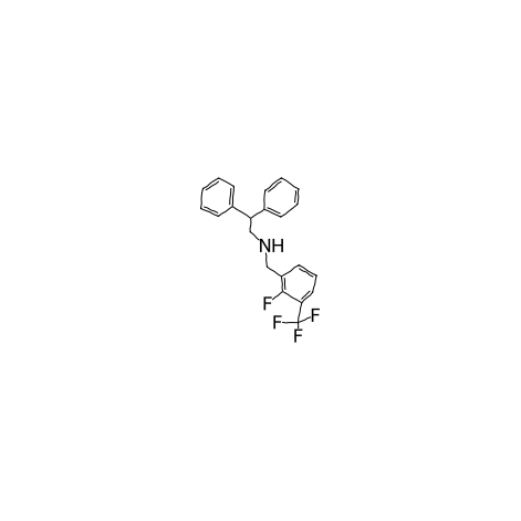 Fc1c(CNCC(c2ccccc2)c2ccccc2)cccc1C(F)(F)F